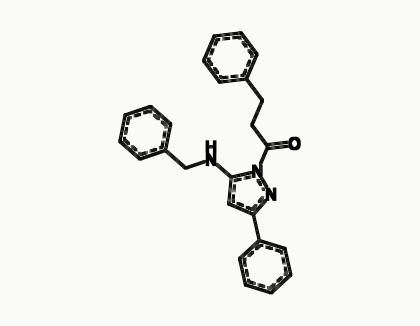 O=C(CCc1ccccc1)n1nc(-c2ccccc2)cc1NCc1ccccc1